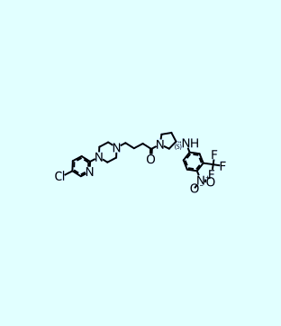 O=C(CCCN1CCN(c2ccc(Cl)cn2)CC1)N1CC[C@H](Nc2ccc([N+](=O)[O-])c(C(F)(F)F)c2)C1